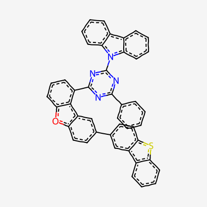 c1ccc(-c2nc(-c3cccc4oc5ccc(-c6ccc7sc8ccccc8c7c6)cc5c34)nc(-n3c4ccccc4c4ccccc43)n2)cc1